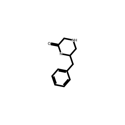 O=C1CNCC(Cc2ccccc2)[N]1